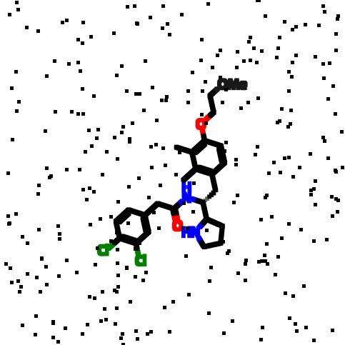 COCCOc1ccc(C[C@@H](NC(=O)Cc2ccc(Cl)c(Cl)c2)C2CCCN2)c(C)c1C